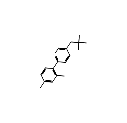 Cc1ccc(-c2ccc(CC(C)(C)C)cn2)c(C)c1